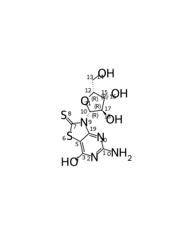 Nc1nc(O)c2sc(=S)n([C@@H]3O[C@H](CO)[C@H](O)[C@H]3O)c2n1